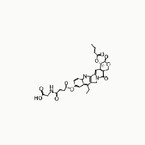 CCCC(=O)O[C@@H]1C(=O)OCc2c1cc1n(c2=O)Cc2c-1nc1ccc(OC(=O)CCC(=O)NCC(=O)O)cc1c2CC